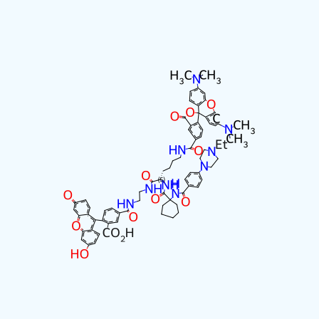 CCN1CCN(c2ccc(C(=O)NC3(C(=O)N[C@@H](CCCCNC(=O)c4ccc5c(c4)C(=O)OC54c5ccc(N(C)C)cc5Oc5cc(N(C)C)ccc54)C(=O)NCCNC(=O)c4ccc(-c5c6ccc(=O)cc-6oc6cc(O)ccc56)c(C(=O)O)c4)CCCCC3)cc2)CC1